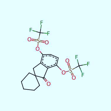 O=C1c2c(OS(=O)(=O)C(F)(F)F)ccc(OS(=O)(=O)C(F)(F)F)c2CC12CCCCC2